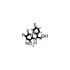 O=[N+]([O-])c1cc(F)c(F)nc1NC(CO)c1ccc(F)cn1